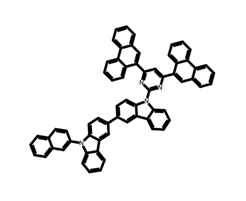 c1ccc2cc(-n3c4ccccc4c4cc(-c5ccc6c(c5)c5ccccc5n6-c5nc(-c6cc7ccccc7c7ccccc67)cc(-c6cc7ccccc7c7ccccc67)n5)ccc43)ccc2c1